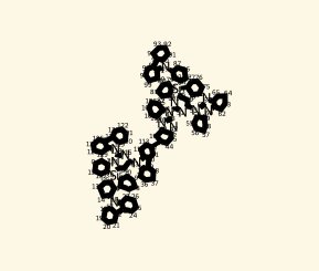 c1ccc([Si](c2ccccc2)(c2cccc(-n3c4ccccc4c4ccccc43)c2)c2cc(-n3c4ccccc4c4cc(-c5ccc6nc7n(-c8nc(-n9c%10ccccc%10n%10c%11ccccc%11nc9%10)cc([Si](c9ccccc9)(c9ccccc9)c9cccc(-n%10c%11ccccc%11c%11ccccc%11%10)c9)n8)c8ccccc8n7c6c5)ccc43)nc(-n3c4ccccc4c4ccccc43)n2)cc1